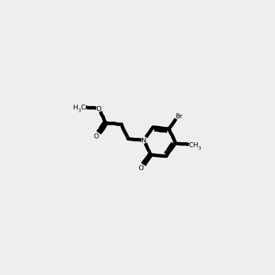 COC(=O)CCn1cc(Br)c(C)cc1=O